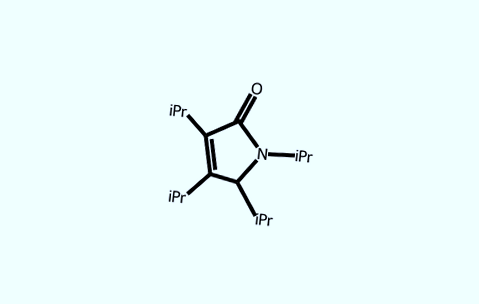 CC(C)C1=C(C(C)C)C(C(C)C)N(C(C)C)C1=O